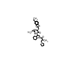 CCC(=O)N[C@@H](Cc1nc2ccc(CC)cc2s1)C(=O)NC(CNC(=O)C(C)CN1CCCC1)C1CCCCC1